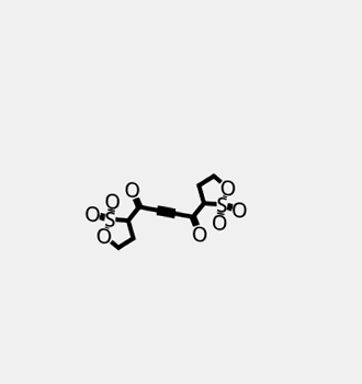 O=C(C#CC(=O)C1CCOS1(=O)=O)C1CCOS1(=O)=O